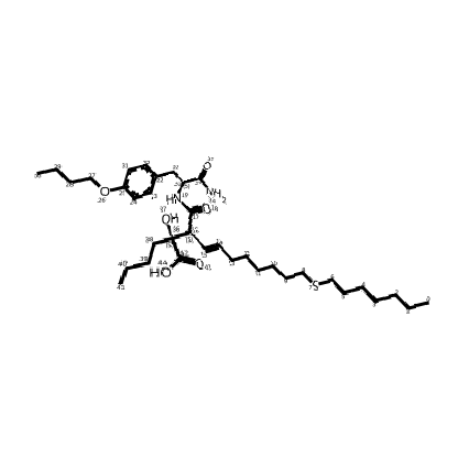 CCCCCCCSCCCCCCC=C[C@H](C(=O)N[C@@H](Cc1ccc(OCCCC)cc1)C(N)=O)[C@@](O)(CCCC)C(=O)O